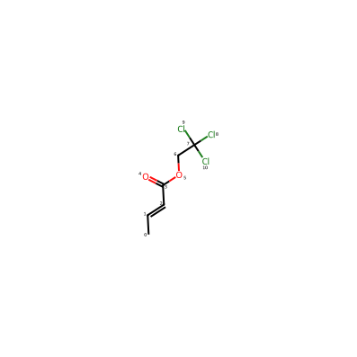 CC=CC(=O)OCC(Cl)(Cl)Cl